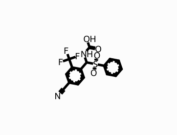 N#Cc1ccc(C(NC(=O)O)S(=O)(=O)c2ccccc2)c(C(F)(F)F)c1